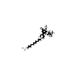 CCCCCCCCCCCCN1CCC(c2cc(Cl)c(N)c3c2OCC(C)(C(=O)O)O3)CC1